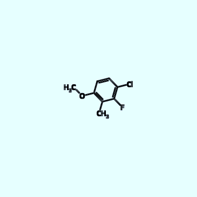 COc1ccc(Cl)c(F)c1C